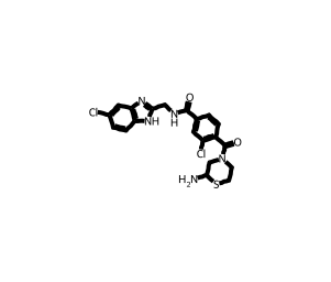 NC1CN(C(=O)c2ccc(C(=O)NCc3nc4cc(Cl)ccc4[nH]3)cc2Cl)CCS1